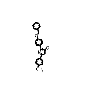 Cc1ccc(C2=NN(c3ccc(OCc4ccccc4)cc3)C(=O)C2)cc1